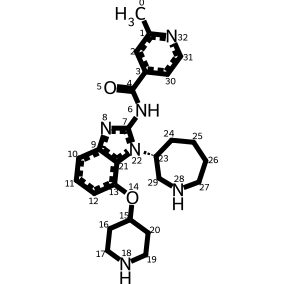 Cc1cc(C(=O)Nc2nc3cccc(OC4CCNCC4)c3n2[C@@H]2CCCCNC2)ccn1